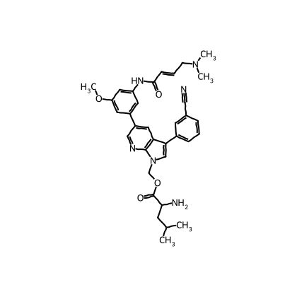 COc1cc(NC(=O)C=CCN(C)C)cc(-c2cnc3c(c2)c(-c2cccc(C#N)c2)cn3COC(=O)C(N)CC(C)C)c1